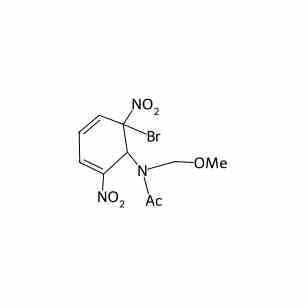 COCN(C(C)=O)C1C([N+](=O)[O-])=CC=CC1(Br)[N+](=O)[O-]